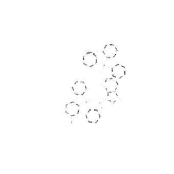 CCCC(OC(c1ccccc1)(c1ccccc1)c1ccc(OCC)c(CO)c1)n1cnc2cnc(NC(c3ccccc3)(c3ccccc3)c3ccccc3OC)nc21